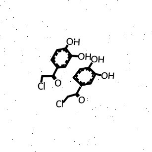 O=C(CCl)c1ccc(O)c(O)c1.O=C(CCl)c1ccc(O)c(O)c1